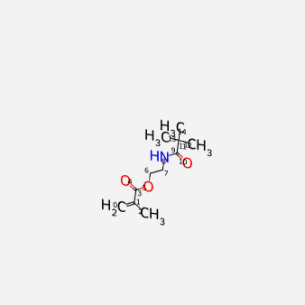 C=C(C)C(=O)OCCNC(=O)C(C)(C)C